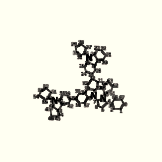 c1ccc(-c2ccc(-n3c4ccc(-c5ccc6c(c5)c5ccccc5n6-c5ccccc5)cc4c4cc(-c5ccc6c(c5)c5ccccc5n6-c5ccccc5)ccc43)n2-c2ccccc2)cc1